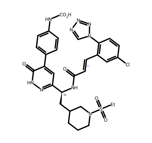 CCS(=O)(=O)N1CCCC(C[C@H](NC(=O)/C=C/c2cc(Cl)ccc2-n2cnnn2)c2cc(-c3ccc(NC(=O)O)cc3)c(=O)[nH]n2)C1